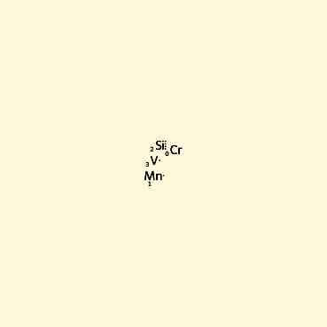 [Cr].[Mn].[Si].[V]